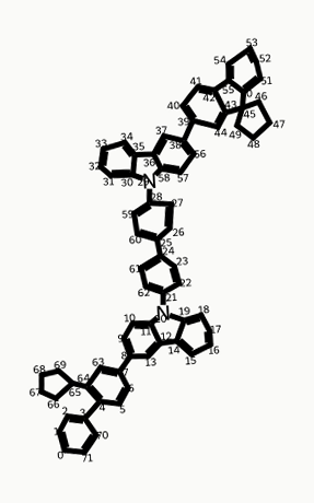 c1ccc(-c2ccc(-c3ccc4c(c3)c3ccccc3n4-c3ccc(-c4ccc(-n5c6ccccc6c6cc(-c7ccc8c(c7)C7(CCCC7)c7ccccc7-8)ccc65)cc4)cc3)cc2C2CCCC2)cc1